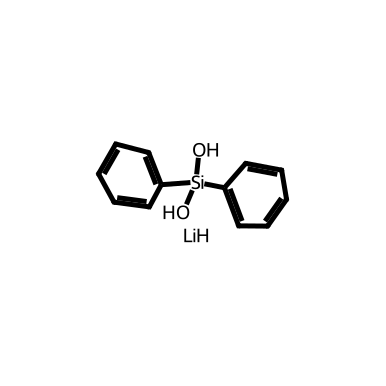 O[Si](O)(c1ccccc1)c1ccccc1.[LiH]